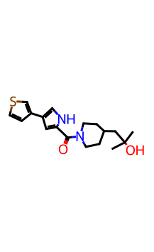 CC(C)(O)CC1CCN(C(=O)c2cc(-c3ccsc3)c[nH]2)CC1